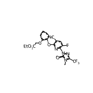 CCOC(=O)COc1ccccc1Oc1nc(-n2nc(C(F)(F)F)n(C)c2=O)c(F)cc1C#N